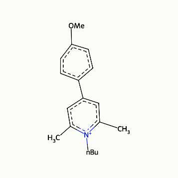 CCCC[n+]1c(C)cc(-c2ccc(OC)cc2)cc1C